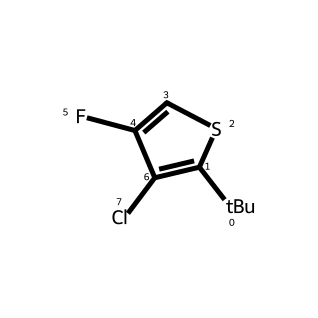 CC(C)(C)c1scc(F)c1Cl